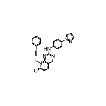 O=c1ccc2cnc(Nc3ccc(-n4cccn4)cc3)nc2n1CC#Cc1ccccc1